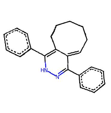 C1=C2/C(c3ccccc3)=NNC(c3ccccc3)=C2CCCCC/1